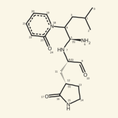 CC(C)CC([C@@H](N)N[C@H](C=O)C[C@@H]1CCNC1=O)n1ccccc1=O